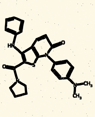 CN(C)c1ccc(-n2c(=O)ccc3c(Nc4ccccc4)c(C(=O)N4CCCC4)sc32)cc1